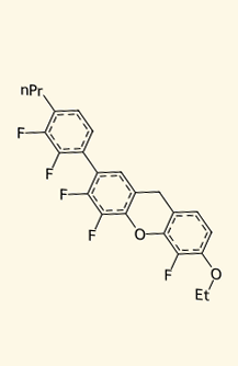 CCCc1ccc(-c2cc3c(c(F)c2F)Oc2c(ccc(OCC)c2F)C3)c(F)c1F